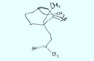 CC1(C)C2CCC1(CC(=[Se])C(F)(F)F)C(=[Se])C2